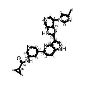 Cc1cn(-c2cncc3[nH]c(-c4n[nH]c5ccc(-c6cncc(NC(=O)C7CC7)c6)nc45)nc23)cn1